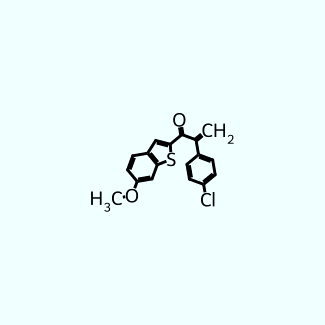 C=C(C(=O)c1cc2ccc(OC)cc2s1)c1ccc(Cl)cc1